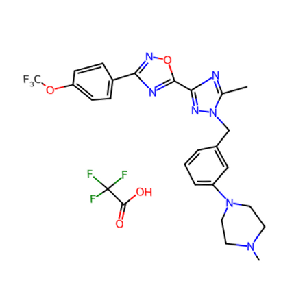 Cc1nc(-c2nc(-c3ccc(OC(F)(F)F)cc3)no2)nn1Cc1cccc(N2CCN(C)CC2)c1.O=C(O)C(F)(F)F